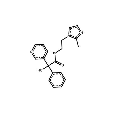 Cc1nccn1CCNC(=O)C(O)(c1ccccc1)c1cccnc1